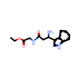 CCOC(=O)CNC(=O)CC(N)c1c[nH]c2ccccc12